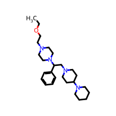 CCOCCN1CCN(C(CN2CCC(N3CCCCC3)CC2)c2ccccc2)CC1